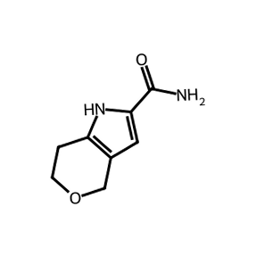 NC(=O)c1cc2c([nH]1)CCOC2